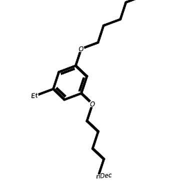 CCCCCCCCCCCCCCOc1cc(CC)cc(OCCCCCCCCCCCCCC)c1